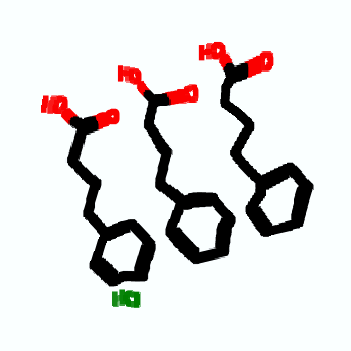 Cl.O=C(O)CCCc1ccccc1.O=C(O)CCCc1ccccc1.O=C(O)CCCc1ccccc1